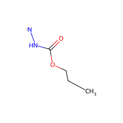 CCCOC(=O)N[N]